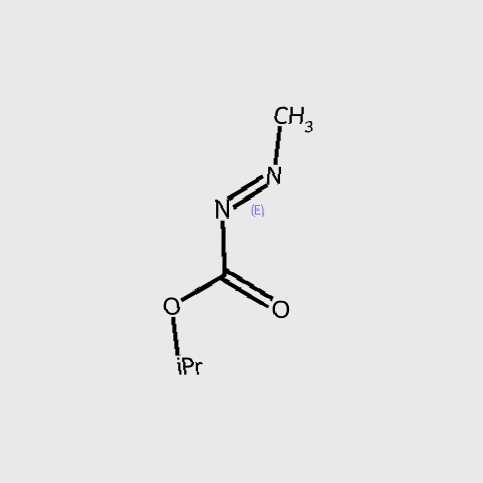 C/N=N/C(=O)OC(C)C